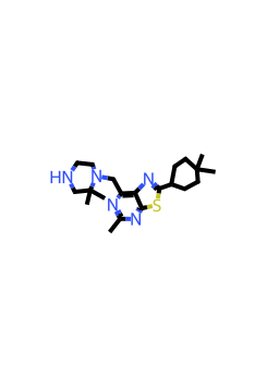 Cc1nc(CN2CCNCC2(C)C)c2nc(C3CCC(C)(C)CC3)sc2n1